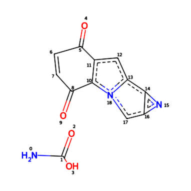 NC(=O)O.O=C1C=CC(=O)c2c1cc1c3nc3cn21